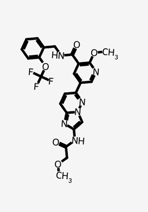 COCC(=O)Nc1cn2nc(-c3cnc(OC)c(C(=O)NCc4ccccc4OC(F)(F)F)c3)ccc2n1